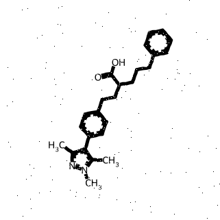 Cc1nn(C)c(C)c1-c1ccc(CCC(CCCc2ccccc2)C(=O)O)cc1